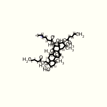 C=CCCC(=O)OC[C@]1(C)C2CC[C@]3(C)C(CC=C4C5CC(C)(C)[C@@H](OC(=O)CCC=C)[C@H](O)[C@]5(COC(=O)CC/C=C/I)[C@H](O)C[C@]43C)[C@@]2(C)CC[C@@H]1O